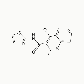 CN1Sc2ccccc2C(O)=C1C(=O)Nc1nccs1